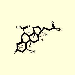 C[C@@]12C(=CC(=O)C[C@@H]1O)C[C@@H](C(=O)O)[C@@H]1[C@@H]2CC[C@@]2(C)[C@H]1CC[C@@]2(O)CCC(=O)O